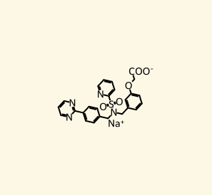 O=C([O-])COc1cccc(CN(Cc2ccc(-c3ncccn3)cc2)S(=O)(=O)c2ccccn2)c1.[Na+]